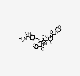 CC1CN(C(=O)CN2CCOCC2)CC1c1nn(C(=O)c2ccoc2)c(SCc2ccc(C(=N)N)cc2)c1C#N